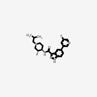 CC(C)CN1CC[C@@H](NC(=O)c2n[nH]c3ccc(-c4cncc(F)c4)cc23)[C@H](F)C1